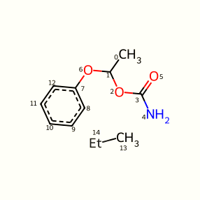 CC(OC(N)=O)Oc1ccccc1.CCC